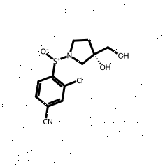 N#Cc1ccc([S+]([O-])N2CC[C@@](O)(CO)C2)c(Cl)c1